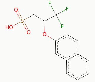 O=S(=O)(O)CC(Oc1ccc2ccccc2c1)C(F)(F)F